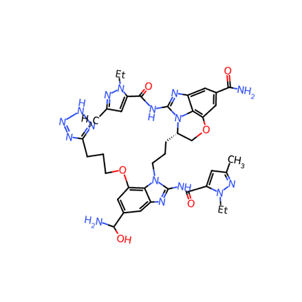 CCn1nc(C)cc1C(=O)Nc1nc2cc(C(N)O)cc(OCCCc3nn[nH]n3)c2n1CCC[C@H]1COc2cc(C(N)=O)cc3nc(NC(=O)c4cc(C)nn4CC)n1c23